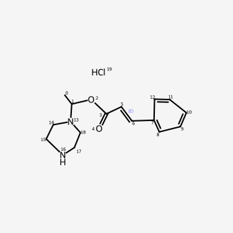 CC(OC(=O)/C=C/c1ccccc1)N1CCNCC1.Cl